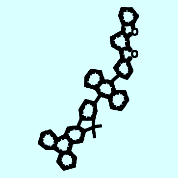 CC1(C)c2cc(-c3c4ccccc4c(-c4ccc5oc6c(ccc7c8ccccc8oc76)c5c4)c4ccccc34)ccc2-c2cc3c4ccccc4c4ccccc4c3cc21